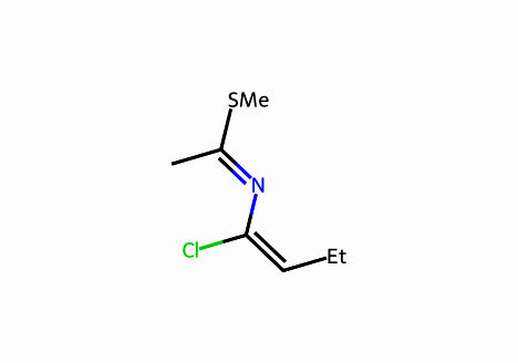 CC/C=C(Cl)\N=C(/C)SC